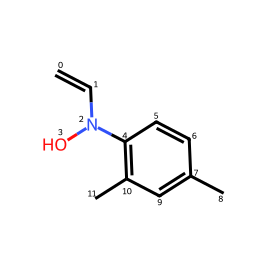 C=CN(O)c1ccc(C)cc1C